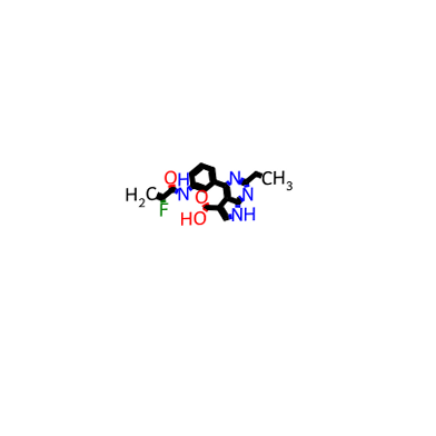 C=C(F)C(=O)Nc1cccc(-c2nc(CC)nc3[nH]cc(C(=O)O)c23)c1